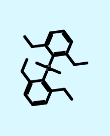 CCc1cccc(CC)c1[Si](C)(C)c1c(CC)cccc1CC